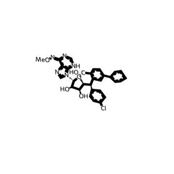 CO/N=c1/nc[nH]c2c1ncn2[C@@H]1O[C@@H]([C@H](c2ccc(Cl)cc2)c2cc(-c3ccccc3)ccc2C(=O)O)[C@@H](O)[C@H]1O